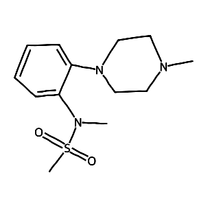 CN1CCN(c2ccccc2N(C)S(C)(=O)=O)CC1